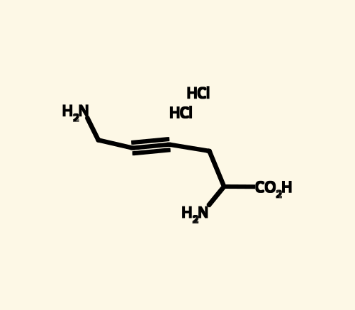 Cl.Cl.NCC#CCC(N)C(=O)O